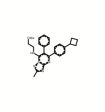 COCCNc1c(-c2ccccc2)c(-c2ccc([C]3CCC3)cc2)nc2nc(C)nn12